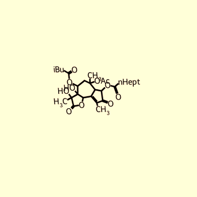 CCCCCCCC(=O)OC1C(=O)C(C)=C2C1C(C)(OC(C)=O)CC(OC(=O)C(C)CC)C1(O)C2OC(=O)C1(C)O